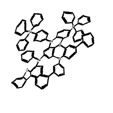 c1ccc(-c2cccc(N3c4ccc(-c5ccccc5)cc4B4c5cc([Si](c6ccccc6)(c6ccccc6)c6ccccc6)ccc5N(c5ccc([Si](c6ccccc6)(c6ccccc6)c6ccccc6)cc5)c5cc(N(c6ccccc6)c6cccc7c6oc6ccccc67)cc3c54)c2)cc1